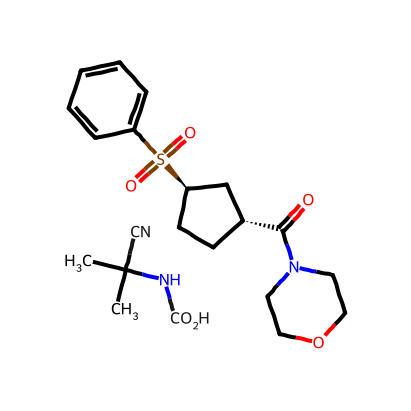 CC(C)(C#N)NC(=O)O.O=C([C@@H]1CC[C@@H](S(=O)(=O)c2ccccc2)C1)N1CCOCC1